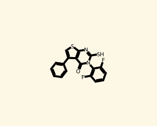 O=c1c2c(-c3ccccc3)csc2nc(S)n1-c1c(F)cccc1F